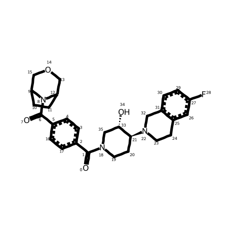 O=C(c1ccc(C(=O)N2C3CCC2COC3)cc1)N1CC[C@H](N2CCc3cc(F)ccc3C2)[C@@H](O)C1